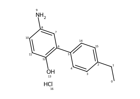 CCc1ccc(-c2cc(N)ccc2O)cc1.Cl